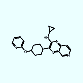 c1ccc(OC2CCN(c3nc4cnccc4nc3NC3CC3)CC2)nc1